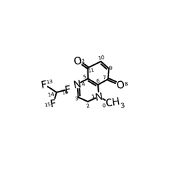 CN1CC=NC2=C1C(=O)C=CC2=O.FC(F)F